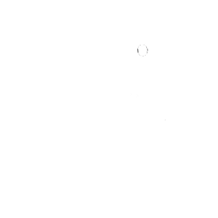 C=C(C)C(=O)c1[c]cccc1